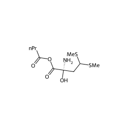 CCCC(=O)OC(=O)[C@](N)(O)CC(SC)SC